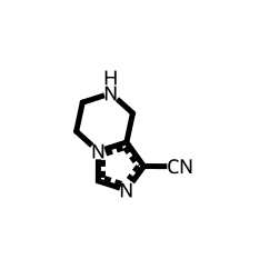 N#Cc1ncn2c1CNCC2